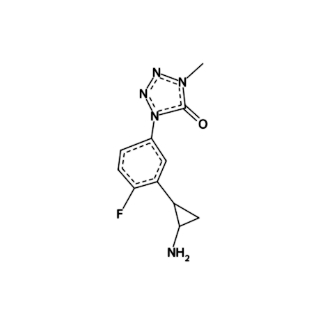 Cn1nnn(-c2ccc(F)c(C3CC3N)c2)c1=O